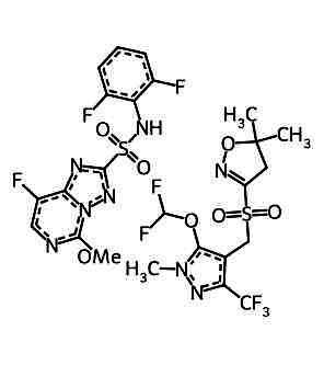 COc1ncc(F)c2nc(S(=O)(=O)Nc3c(F)cccc3F)nn12.Cn1nc(C(F)(F)F)c(CS(=O)(=O)C2=NOC(C)(C)C2)c1OC(F)F